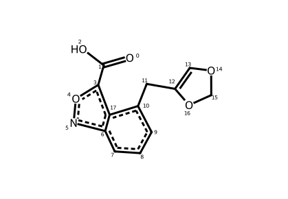 O=C(O)c1onc2cccc(CC3=COCO3)c12